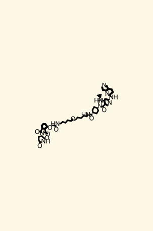 O=C(COc1cccc2c1C(=O)N(C1CCC(=O)NC1=O)C2=O)NCCCCCOCCCCCNC(=O)[C@H]1CC[C@H](NC(=O)c2cnc(Nc3ccc4cnccc4n3)cc2NC2CC2)CC1